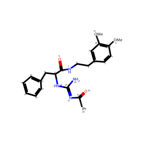 COc1ccc(CCNC(=O)C(Cc2ccccc2)NC(N)=NC(=O)C(C)C)cc1OC